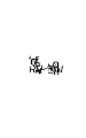 O=C1CN(CCCCCC2(NS(=O)(=O)c3ccc(F)c(OCC4CC4)c3)CC2)C(O)N1